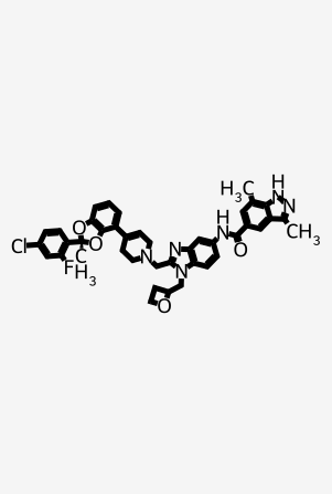 Cc1n[nH]c2c(C)cc(C(=O)Nc3ccc4c(c3)nc(CN3CC=C(c5cccc6c5O[C@](C)(c5ccc(Cl)cc5F)O6)CC3)n4CC3CCO3)cc12